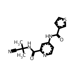 CC(C)(C#N)NC(=O)c1cc(NC(=O)c2ccsc2)ccn1